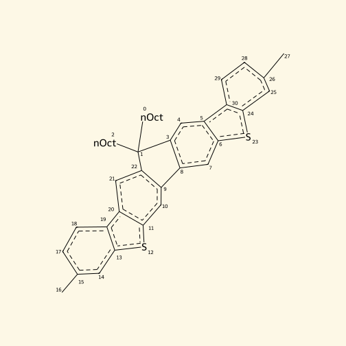 CCCCCCCCC1(CCCCCCCC)c2cc3c(cc2-c2cc4sc5cc(C)ccc5c4cc21)sc1cc(C)ccc13